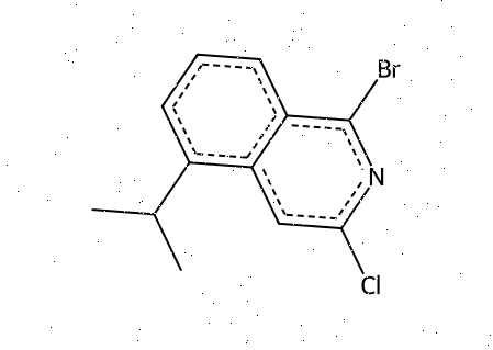 CC(C)c1cccc2c(Br)nc(Cl)cc12